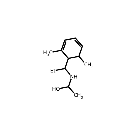 CCC(NC(C)O)C1C(C)=CC=CC1C